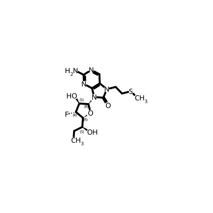 CC[C@H](O)[C@H]1O[C@@H](n2c(=O)n(CCSC)c3cnc(N)nc32)[C@H](O)[C@H]1F